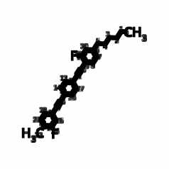 CCCCCCc1ccc(C#Cc2ccc(C#Cc3ccc(C)c(F)c3)cc2)c(F)c1